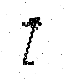 CCCCCC=CCCCCCCCCCCCCC(CCC)(P(=O)=O)[N+](C)(C)C